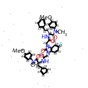 COc1ccc(N(C)C(=O)[C@H](CCc2ccccc2)NC(=O)Cn2c(=O)n(CC(=O)N[C@@H](Cc3ccccc3)C(=O)N(C)c3ccc(OC)cc3)c3ccc(F)cc32)cc1